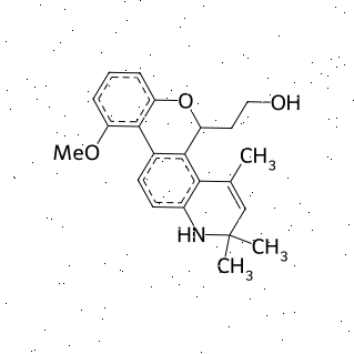 COc1cccc2c1-c1ccc3c(c1C(CCO)O2)C(C)=CC(C)(C)N3